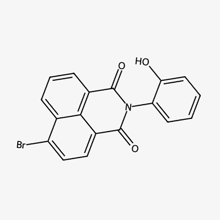 O=C1c2cccc3c(Br)ccc(c23)C(=O)N1c1ccccc1O